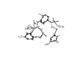 CCCn1cc(CO[C@H](c2ccc(C)c(CN3C[C@@H](C)Cc4ccc(C(F)(F)F)cc4S3(O)O)c2)C(C)(C)C(=O)O)nn1